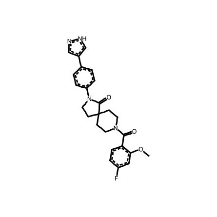 COc1cc(F)ccc1C(=O)N1CCC2(CC1)CCN(c1ccc(-c3cn[nH]c3)cc1)C2=O